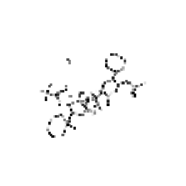 CC(=O)OC1CC2CC[C@@H]3[C@@H](CC[C@]4(C)C(OC(=O)C(C)(C)C)C([N+]5(C)CCCCC5)C[C@@H]34)[C@@]2(C)CC1N1CCCCC1.[Br-]